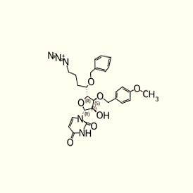 COc1ccc(CO[C@H]2[C@@H](O)[C@H](n3ccc(=O)[nH]c3=O)O[C@@H]2C(CCCN=[N+]=[N-])OCc2ccccc2)cc1